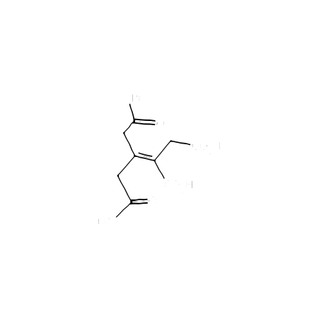 CCCC(=O)CC(CC(=O)CCC)=C(CC(=O)O)C(=O)O